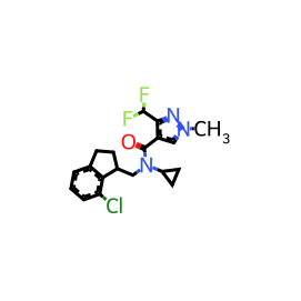 Cn1cc(C(=O)N(CC2CCc3cccc(Cl)c32)C2CC2)c(C(F)F)n1